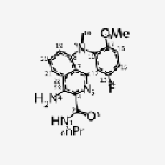 CCCNC(=O)c1ncc2c(N(C)c3cc(F)ccc3OC)cccc2c1N